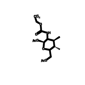 CC(=O)OCC1O[C@@H](OC(C)=O)C(NC(=O)OCC(Cl)(Cl)Cl)[C@@H](C)[C@@H]1C